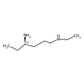 CCNCCC[C@H](N)CC